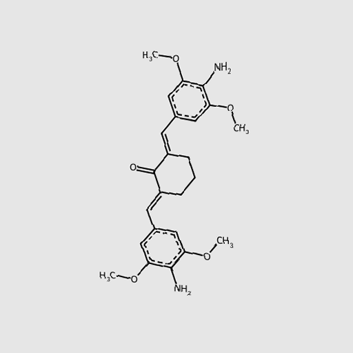 COc1cc(C=C2CCCC(=Cc3cc(OC)c(N)c(OC)c3)C2=O)cc(OC)c1N